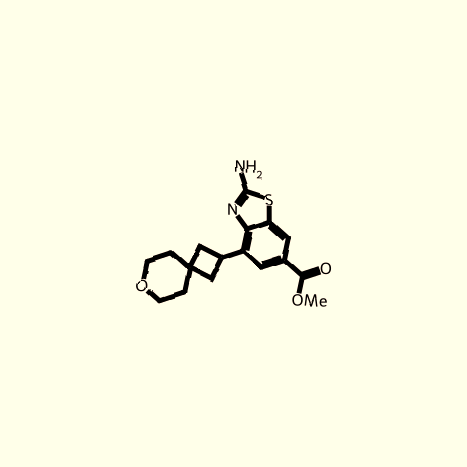 COC(=O)c1cc(C2CC3(CCOCC3)C2)c2nc(N)sc2c1